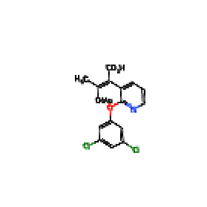 CO/C(C)=C(/C(=O)O)c1cccnc1Oc1cc(Cl)cc(Cl)c1